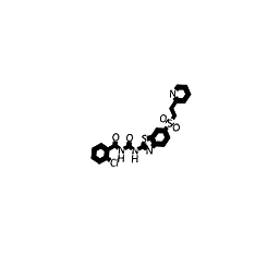 O=C(NC(=O)c1ccccc1Cl)Nc1nc2ccc(S(=O)(=O)CCc3ccccn3)cc2s1